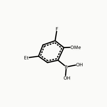 CCc1cc(F)c(OC)c(B(O)O)c1